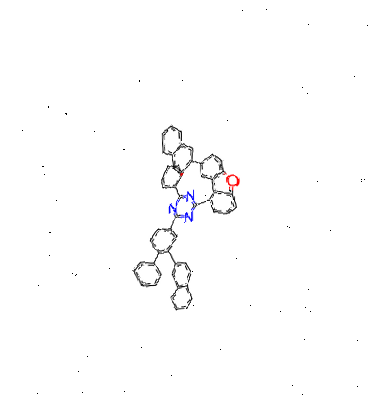 c1ccc(-c2nc(-c3ccc(-c4ccccc4)c(-c4ccc5ccccc5c4)c3)nc(-c3cccc4oc5ccc(-c6ccc7ccccc7c6)cc5c34)n2)cc1